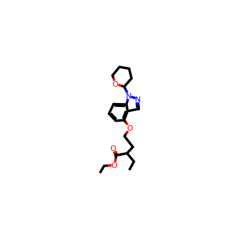 CCOC(=O)C(CC)CCOc1cccc2c1cnn2C1CCCCO1